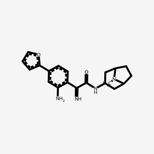 CN1C2CCC1CC(NC(=O)C(=N)c1ccc(-c3ccco3)cc1N)C2